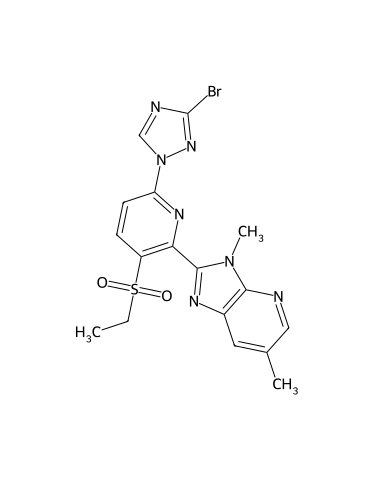 CCS(=O)(=O)c1ccc(-n2cnc(Br)n2)nc1-c1nc2cc(C)cnc2n1C